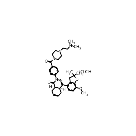 COc1ccc(C2=NN(c3ccc(C(=O)N4CCN(CCN(C)C)CC4)cc3)C(=O)[C@@H]3CC=CC[C@H]23)c2c1OC(C)(C)C2.Cl.Cl